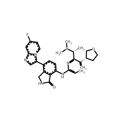 C=C(/C(=N\C(=C/C)Nc1ccc(-c2cnc3cc(F)ccn23)c2c1C(=O)NC2)[C@@H](C)N(C)C)[C@H]1CCOC1